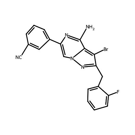 N#Cc1cccc(-c2cn3nc(Cc4ccccc4F)c(Br)c3c(N)n2)c1